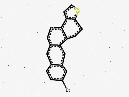 CCc1ccc2cc3ccc4c5ccsc5ccc4c3cc2c1